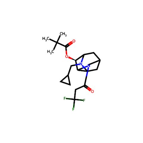 CC(C)(C)C(=O)O[C@@H]1C2C3CC(CC1N3CC1CC1)CN2C(=O)CC(F)(F)F